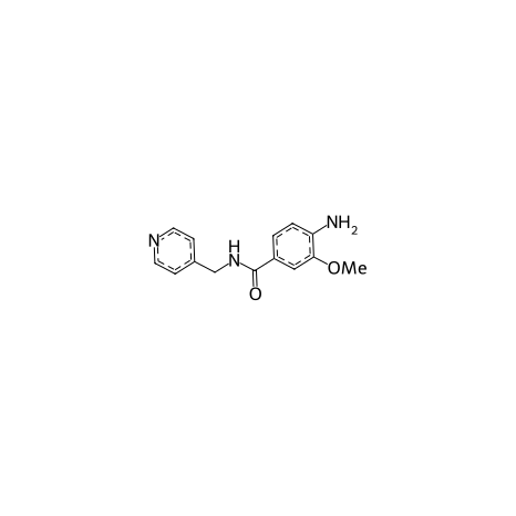 COc1cc(C(=O)NCc2ccncc2)ccc1N